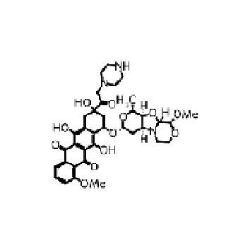 COc1cccc2c1C(=O)c1c(O)c3c(c(O)c1C2=O)CC(O)(C(=O)CN1CCNCC1)CC3O[C@H]1C[C@H]2[C@H](O[C@@H]3[C@@H](OC)OCCN32)[C@H](C)O1